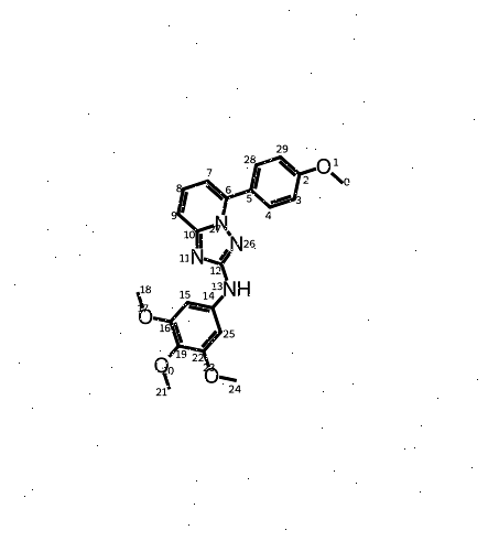 COc1ccc(-c2cccc3nc(Nc4cc(OC)c(OC)c(OC)c4)nn23)cc1